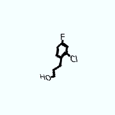 OCCCc1ccc(F)cc1Cl